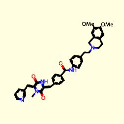 COc1cc2c(cc1OC)CN(CCc1ccc(NC(=O)c3ccc(C=c4[nH]c(=O)c(=Cc5cccnc5)n(C)c4=O)cc3)cc1)CC2